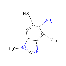 Cc1cc2c(ncn2C)c(C)c1N